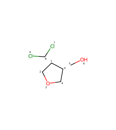 C1CCOC1.CO.ClCCl